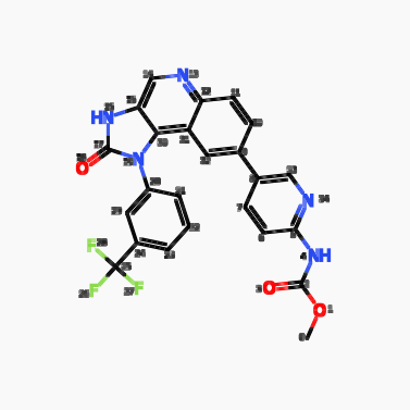 COC(=O)Nc1ccc(-c2ccc3ncc4[nH]c(=O)n(-c5cccc(C(F)(F)F)c5)c4c3c2)cn1